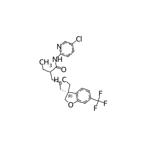 CCC(CCC[C@@]1(CC)COc2cc(C(F)(F)F)ccc21)C(=O)Nc1ccc(Cl)cn1